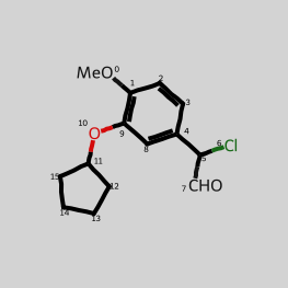 COc1ccc(C(Cl)C=O)cc1OC1CCCC1